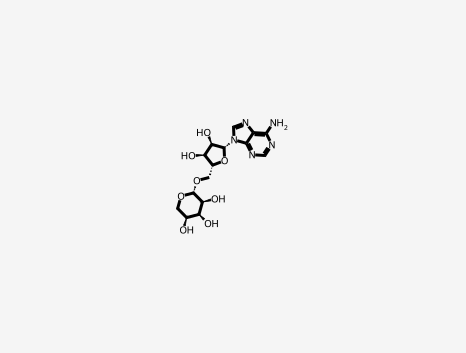 Nc1ncnc2c1ncn2[C@@H]1O[C@H](CO[C@H]2OC[C@H](O)[C@H](O)[C@@H]2O)[C@@H](O)[C@H]1O